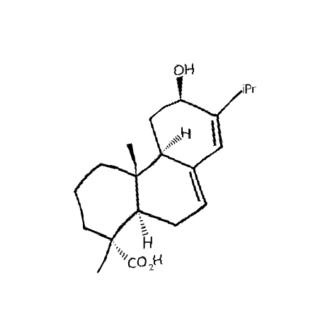 CC(C)C1=CC2=CC[C@@H]3[C@](C)(CCC[C@@]3(C)C(=O)O)[C@H]2C[C@H]1O